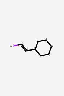 IC=CC1CCCCC1